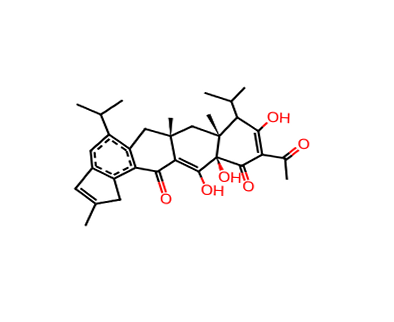 CC(=O)C1=C(O)C(C(C)C)[C@@]2(C)C[C@@]3(C)Cc4c(C(C)C)cc5c(c4C(=O)C3=C(O)[C@@]2(O)C1=O)CC(C)=C5